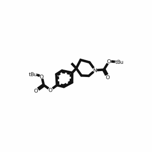 CC(C)(C)OC(=O)Oc1ccc(C2(C)CCN(C(=O)OC(C)(C)C)CC2)cc1